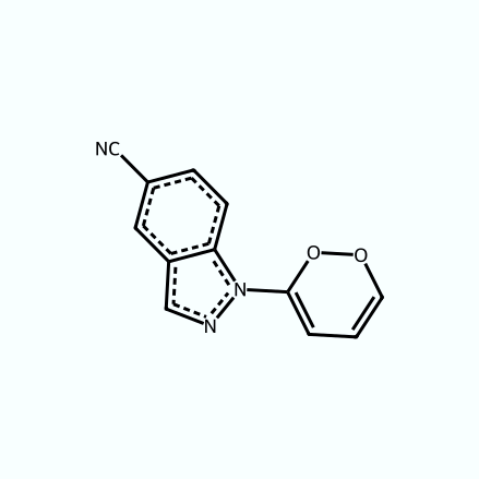 N#Cc1ccc2c(cnn2C2=CC=COO2)c1